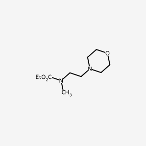 CCOC(=O)N(C)CCN1CCOCC1